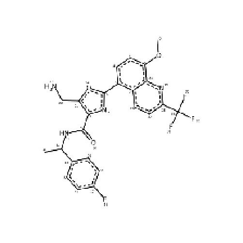 COc1ccc(-c2nc(C(=O)NC(C)c3ccc(F)cc3)c(CN)o2)c2ccc(C(F)(F)F)nc12